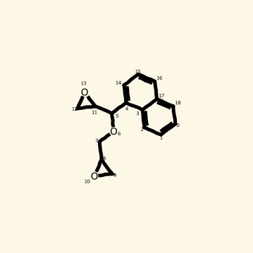 c1ccc2c(C(OCC3CO3)C3CO3)cccc2c1